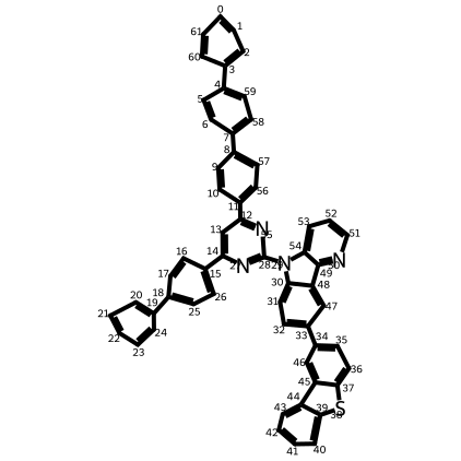 c1ccc(-c2ccc(-c3ccc(-c4cc(-c5ccc(-c6ccccc6)cc5)nc(-n5c6ccc(-c7ccc8sc9ccccc9c8c7)cc6c6ncccc65)n4)cc3)cc2)cc1